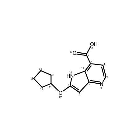 O=C(O)c1ccnc2cc(OC3CCCC3)[nH]c12